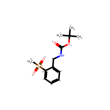 CC(C)(C)OC(=O)NCc1ccccc1S(C)(=O)=O